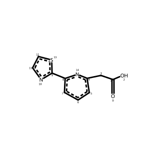 O=C(O)Cc1cccc(-c2nccs2)n1